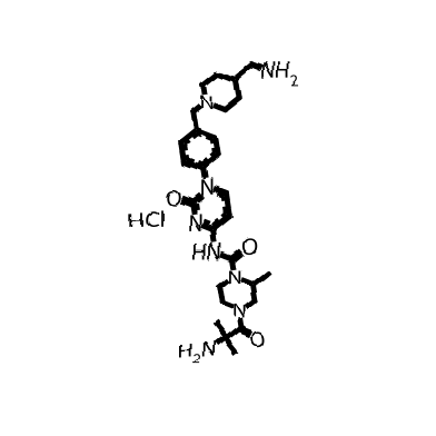 CC1CN(C(=O)C(C)(C)N)CCN1C(=O)Nc1ccn(-c2ccc(CN3CCC(CN)CC3)cc2)c(=O)n1.Cl